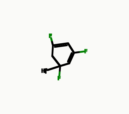 FC1=C[C](F)([Hf])CC(F)=C1